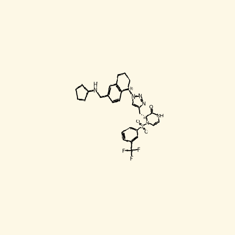 O=C1NC=CN(S(=O)(=O)c2cccc(C(F)(F)F)c2)[C@@H]1Cc1cn([C@@H]2CCCc3cc(CNC4CCCC4)ccc32)nn1